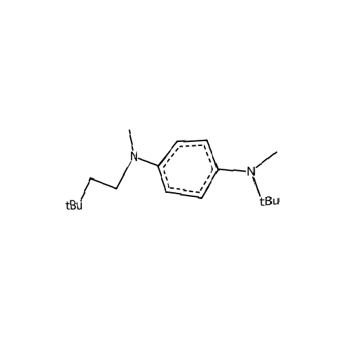 CN(CCC(C)(C)C)c1ccc(N(C)C(C)(C)C)cc1